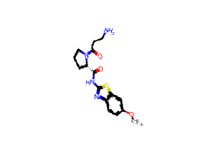 NCCC(=O)N1CCC[C@H]1C(=O)Nc1nc2ccc(OC(F)(F)F)cc2s1